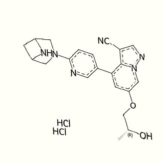 C[C@@H](O)COc1cc(-c2ccc(N3CC4CC(C3)N4)nc2)c2c(C#N)cnn2c1.Cl.Cl